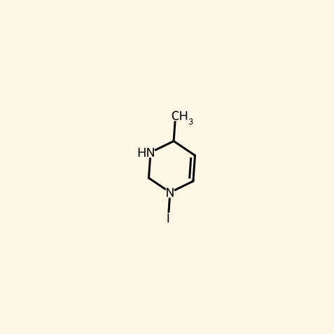 CC1C=CN(I)CN1